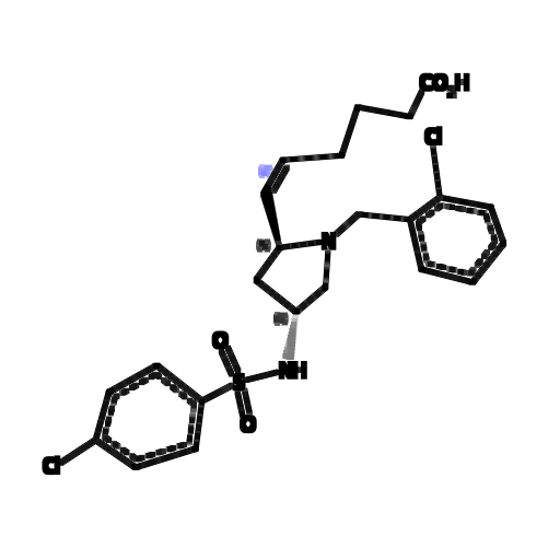 O=C(O)CCC/C=C\[C@@H]1C[C@@H](NS(=O)(=O)c2ccc(Cl)cc2)CN1Cc1ccccc1Cl